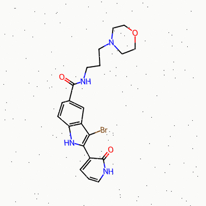 O=C(NCCCN1CCOCC1)c1ccc2[nH]c(-c3ccc[nH]c3=O)c(Br)c2c1